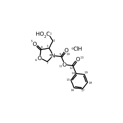 Cl.O=C(O)CC1C(=O)OCN1C(=O)OC(=O)c1ccccc1